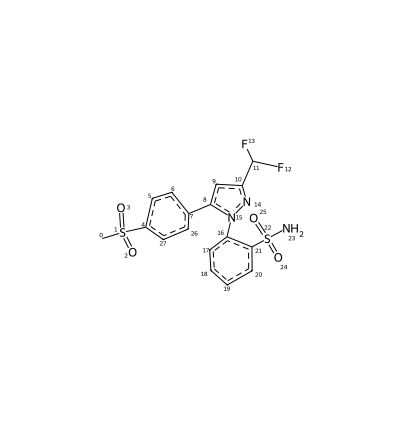 CS(=O)(=O)c1ccc(-c2cc(C(F)F)nn2-c2ccccc2S(N)(=O)=O)cc1